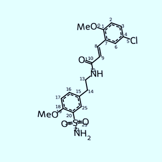 COc1ccc(Cl)cc1C=CC(=O)NCCc1ccc(OC)c(S(N)(=O)=O)c1